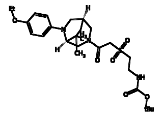 CCOc1ccc(N2C[C@H]3CN(C(=O)CS(=O)(=O)CCNC(=O)OC(C)(C)C)C[C@@H]2C(C)(C)C3)cc1